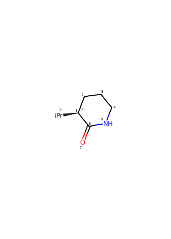 CC(C)[C@H]1CCCNC1=O